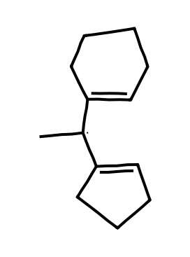 C[C](C1=CCCC1)C1=CCCCC1